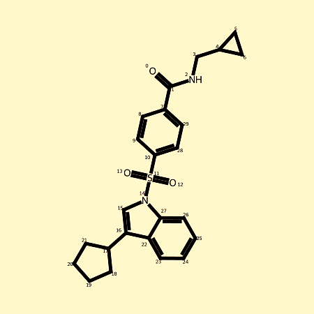 O=C(NCC1CC1)c1ccc(S(=O)(=O)n2cc(C3CCCC3)c3ccccc32)cc1